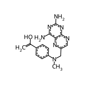 C=C(O)c1ccc(N(C)Cc2cnc3nc(N)nc(N)c3n2)cc1